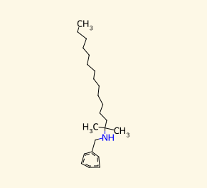 CCCCCCCCCCCCCC(C)(C)NCc1ccccc1